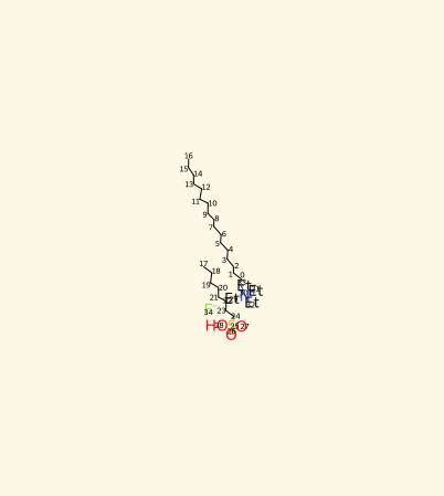 CCCCCCCCCCCCCCCCC.CCCCCCCCS(=O)(=O)O.CC[N+](CC)(CC)CC.[F-]